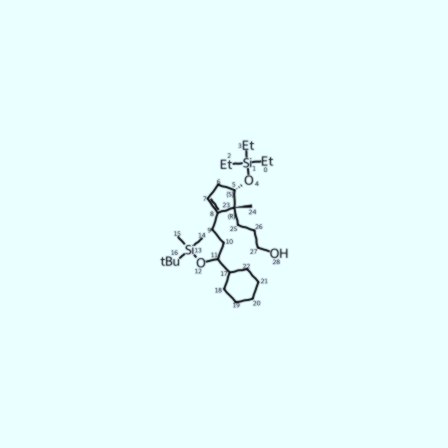 CC[Si](CC)(CC)O[C@H]1CC=C(CCC(O[Si](C)(C)C(C)(C)C)C2CCCCC2)[C@@]1(C)CCCO